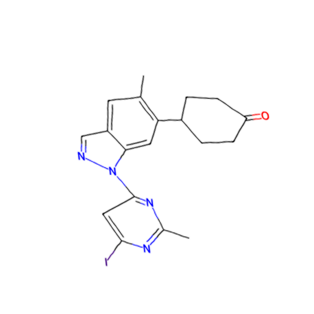 Cc1nc(I)cc(-n2ncc3cc(C)c(C4CCC(=O)CC4)cc32)n1